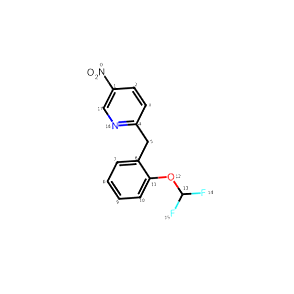 O=[N+]([O-])c1ccc(Cc2ccccc2OC(F)F)nc1